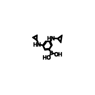 OB(O)c1cc(NC2CC2)cc(NC2CC2)c1